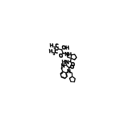 CC(C)[C@H](O)C(=O)NCC1(C(=O)NC2N=Cc3ccccc3N(CC3CCCC3)C2=O)CCCC1